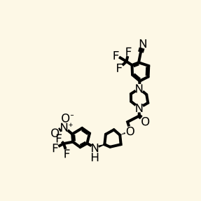 N#Cc1ccc(N2CCN(C(=O)CO[C@H]3CC[C@H](Nc4ccc([N+](=O)[O-])c(C(F)(F)F)c4)CC3)CC2)cc1C(F)(F)F